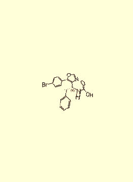 O=C(O)N[C@H]([CH]c1ccccc1)c1ncoc1-c1ccc(Br)cc1